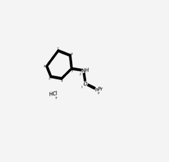 CCCONC1CCCCC1.Cl